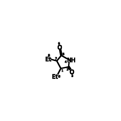 CCC1C(=O)NC(=O)C1CC